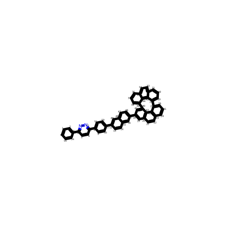 c1ccc(-c2ccc(-c3ccc(-c4ccc5cc(-c6cc7ccc8cccc9c%10cccc%11ccc%12cccc(c(c6)c7c89)c%12c%11%10)ccc5c4)cc3)nn2)cc1